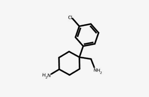 NCC1(c2cccc(Cl)c2)CCC(N)CC1